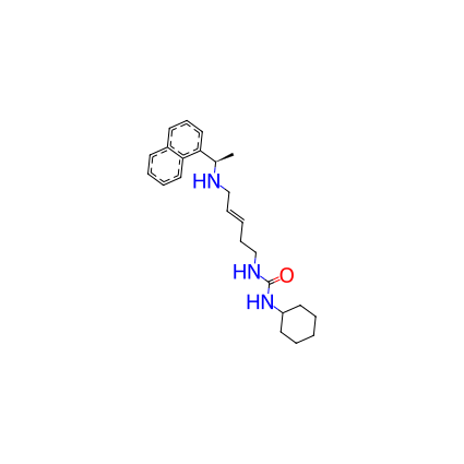 C[C@@H](NC/C=C/CCNC(=O)NC1CCCCC1)c1cccc2ccccc12